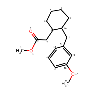 COC(=O)CC1CCCCC1Cc1cccc(OC)c1